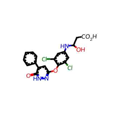 O=C(O)CC(O)Nc1cc(Cl)c(Oc2cc(-c3ccccc3)c(=O)[nH]n2)c(Cl)c1